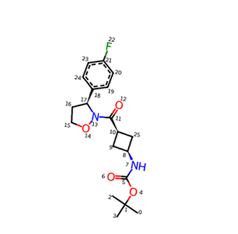 CC(C)(C)OC(=O)N[C@H]1C[C@@H](C(=O)N2OCC[C@H]2c2ccc(F)cc2)C1